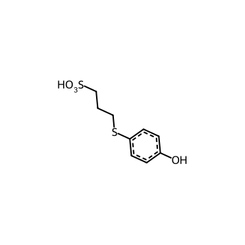 O=S(=O)(O)CCCSc1ccc(O)cc1